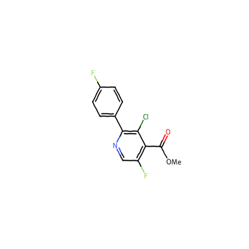 COC(=O)c1c(F)cnc(-c2ccc(F)cc2)c1Cl